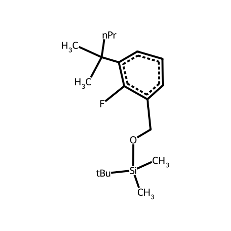 CCCC(C)(C)c1cccc(CO[Si](C)(C)C(C)(C)C)c1F